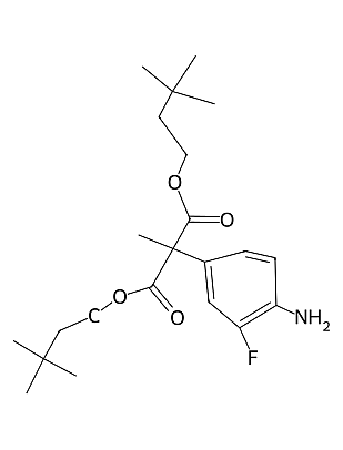 CC(C)(C)CCOC(=O)C(C)(C(=O)OCCC(C)(C)C)c1ccc(N)c(F)c1